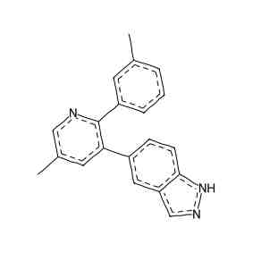 Cc1cccc(-c2ncc(C)cc2-c2ccc3[nH]ncc3c2)c1